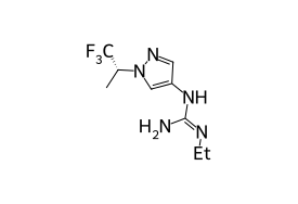 CC/N=C(\N)Nc1cnn([C@H](C)C(F)(F)F)c1